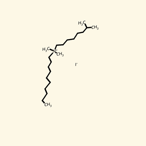 CCCCCCCCCC[N+](C)(C)CCCCCCC(C)C.[I-]